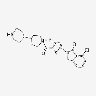 CC(C)[N+]1(C(=O)c2ccc(N3Cc4cccc(Cl)c4C3=O)s2)CCC(C2CCNCC2)CC1